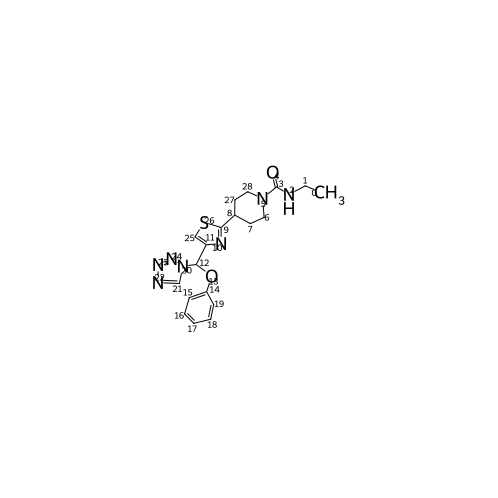 CCNC(=O)N1CCC(c2nc(C(Oc3ccccc3)n3cnnn3)cs2)CC1